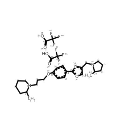 CC1CCCCN1CCCOc1ccc(-c2nc(CN3CCCC3C)co2)cc1.O=C(O)C(F)(F)F.O=C(O)C(F)(F)F